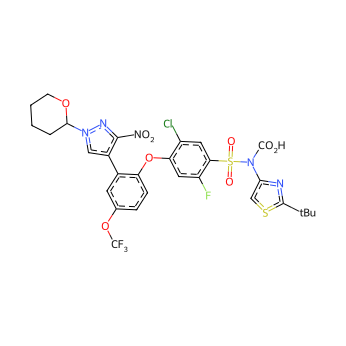 CC(C)(C)c1nc(N(C(=O)O)S(=O)(=O)c2cc(Cl)c(Oc3ccc(OC(F)(F)F)cc3-c3cn(C4CCCCO4)nc3[N+](=O)[O-])cc2F)cs1